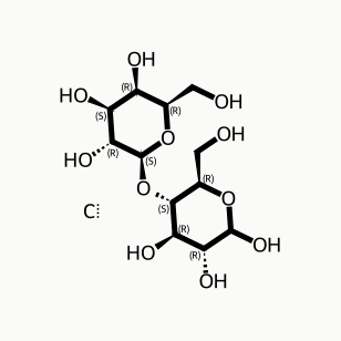 OC[C@H]1O[C@@H](O[C@H]2[C@H](O)[C@@H](O)C(O)O[C@@H]2CO)[C@H](O)[C@@H](O)[C@H]1O.[C]